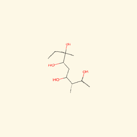 CCC(C)(O)C(O)CC(O)C(C)C(C)O